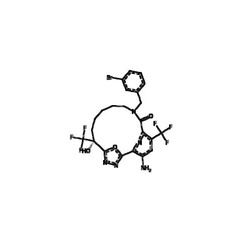 Nc1cc(C(F)(F)F)c2nc1-c1nnc(o1)[C@@](O)(C(F)(F)F)CCCCCN(Cc1cccc(Br)c1)C2=O